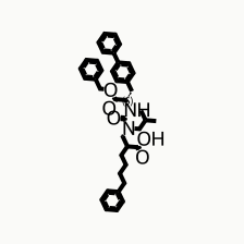 CC(C)CN(CC(CCCCc1ccccc1)C(=O)O)C(=O)N[C@@H](Cc1ccc(-c2ccccc2)cc1)C(=O)OCc1ccccc1